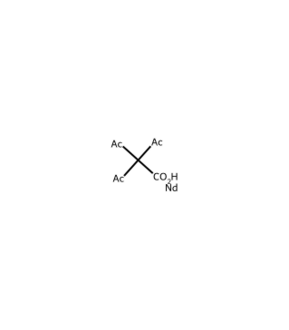 CC(=O)C(C(C)=O)(C(C)=O)C(=O)O.[Nd]